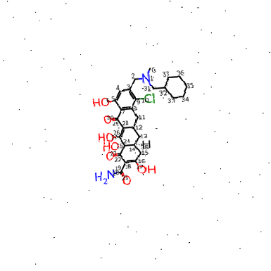 CN(Cc1cc(O)c2c(c1Cl)CC1C[C@H]3CC(O)=C(C(N)=O)C(=O)[C@@]3(O)C(O)=C1C2=O)CC1CCCCC1